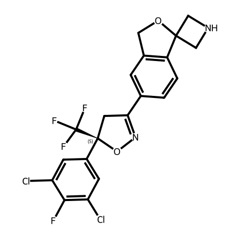 Fc1c(Cl)cc([C@]2(C(F)(F)F)CC(c3ccc4c(c3)COC43CNC3)=NO2)cc1Cl